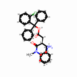 COC[C@@H](CN)N(C)C(=O)[C@@H](CC(=O)OC(c1ccccc1)(c1ccccc1)c1ccccc1Cl)Cc1ccccc1